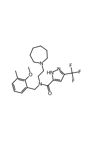 COc1c(C)cccc1CN(CCN1CCCCCC1)C(=O)c1cc(C(F)(F)F)n[nH]1